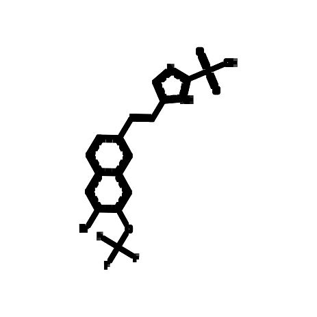 O=S(=O)(O)c1ncc(C=Cc2ccc3cc(Br)c(OC(F)(F)F)cc3c2)[nH]1